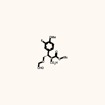 COc1ccc([C@@H](COCC=O)N(C(=O)O)C(=O)OC(C)(C)C)cc1F